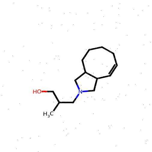 CC(CO)CN1CC2C=CCCCCC2C1